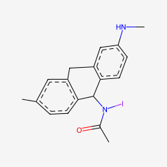 CNc1ccc2c(c1)Cc1cc(C)ccc1C2N(I)C(C)=O